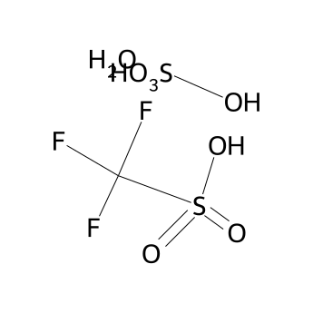 O.O=S(=O)(O)C(F)(F)F.O=S(=O)(O)O